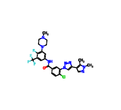 Cc1c(-c2cn(-c3cc(C(=O)Nc4cc(N5CCN(C)CC5)c(F)c(C(F)(F)F)c4)ccc3Cl)nn2)cnn1C